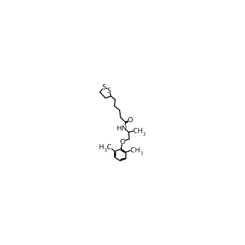 Cc1cccc(C)c1OCC(C)NC(=O)CCCCC1CCSS1